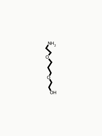 NCCOCCCOCCO